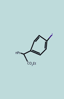 CCCC(C(=O)OCC)c1ccc(I)cc1